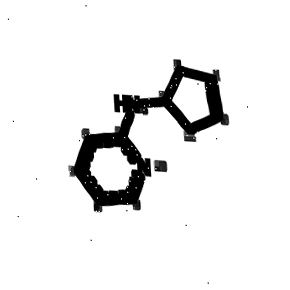 C1=CCC(Nc2ccccn2)C1